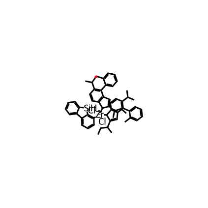 CCC(C)C1=Cc2c(ccc(C(C)C)c2-c2ccccc2C)[CH]1[Zr]([Cl])([Cl])([c]1cccc2c1[SiH2]c1ccccc1-2)[CH]1C(C(C)CC)=Cc2c1ccc(C(C)C)c2-c1ccccc1C